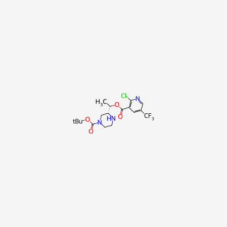 CC(OC(=O)c1cc(C(F)(F)F)cnc1Cl)[C@H]1CN(C(=O)OC(C)(C)C)CCN1